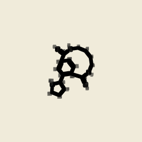 O=C1OCCCCOC(=O)c2ccc1cc2C1CCCO1